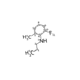 CCCNc1c(C)cccc1F